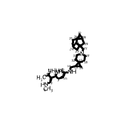 CN/C=C(\C(C)=N)C(=N)/C=C\C(=N)NCC1CC12CCN(CC13CC4CC5(CC5C1)C43)CC2